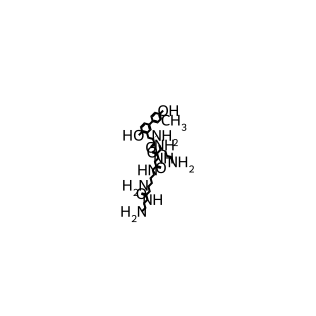 Cc1cc(-c2ccc(O)c(C[C@H](N)C(=O)N[C@@H](CCCN)C(=O)NCC(=O)NCCC[C@H](N)CC(=O)NCCN)c2)ccc1O